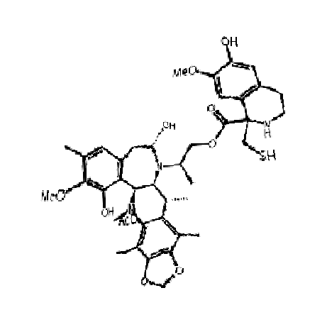 COc1cc2c(cc1O)CCN[C@]2(CS)C(=O)OC[C@@H](C)N1[C@@H]([C@H](C)c2c(C)c3c(c(C)c2OC(C)=O)OCO3)[C@@H](N(C)C)c2c(cc(C)c(OC)c2O)C[C@@H]1O